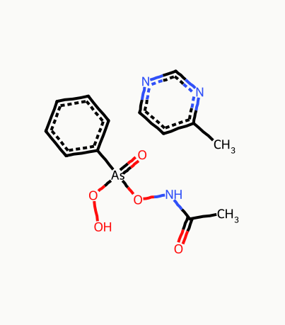 CC(=O)NO[As](=O)(OO)c1ccccc1.Cc1ccncn1